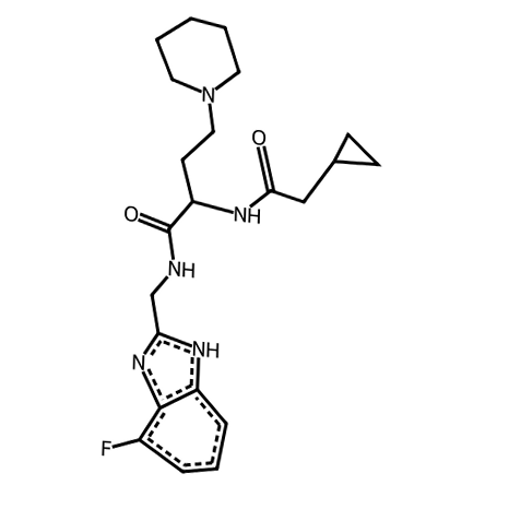 O=C(CC1CC1)NC(CCN1CCCCC1)C(=O)NCc1nc2c(F)cccc2[nH]1